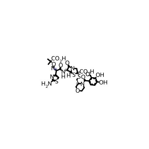 CC(C)(O/N=C(\C(=O)N[C@@H]1C(=O)N2C[C@](SC[C@@H]3COCCN3C(=O)c3ccc(O)c(O)c3Cl)(C(=O)O)S[C@H]12)c1csc(N)n1)C(=O)O